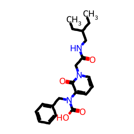 CCC(CC)CNC(=O)Cn1cccc(N(Cc2ccccc2)C(=O)O)c1=O